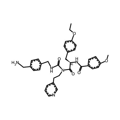 CCOc1ccc(C[C@@H](NC(=O)c2ccc(OC)cc2)C(=O)N(CCc2cccnc2)C(=O)NCc2ccc(CN)cc2)cc1